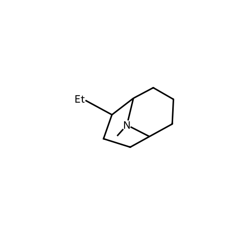 CCC1CCC2CCCC1N2C